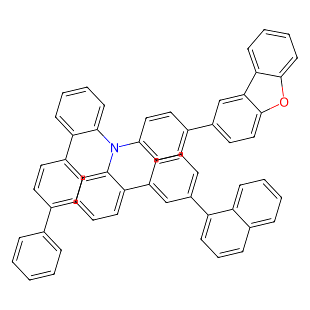 c1ccc(-c2ccc(-c3ccccc3N(c3ccc(-c4ccc5oc6ccccc6c5c4)cc3)c3ccccc3-c3cccc(-c4cccc5ccccc45)c3)cc2)cc1